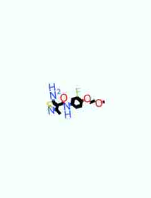 COCCOc1ccc(NC(=O)c2c(C)nsc2N)cc1F